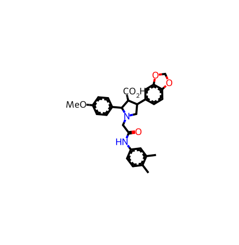 COc1ccc(C2C(C(=O)O)C(c3ccc4c(c3)OCO4)CN2CC(=O)Nc2ccc(C)c(C)c2)cc1